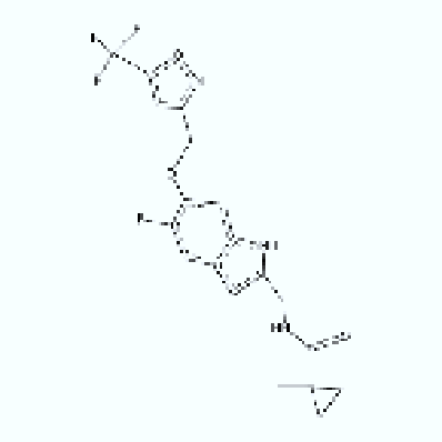 CC1(C(=O)NCc2cc3cc(F)c(OCc4cc(C(F)(F)F)on4)cc3[nH]2)CC1